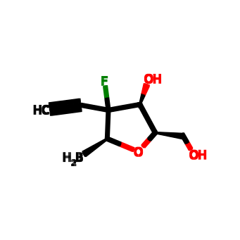 B[C@@H]1O[C@H](CO)[C@H](O)C1(F)C#C